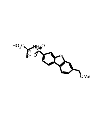 COCc1ccc2c(c1)sc1cc(S(=O)(=O)N[C@H](C(=O)O)C(C)C)ccc12